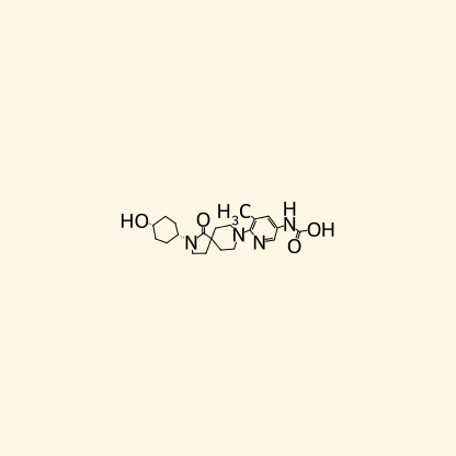 Cc1cc(NC(=O)O)cnc1N1CCC2(CC1)CCN([C@H]1CC[C@@H](O)CC1)C2=O